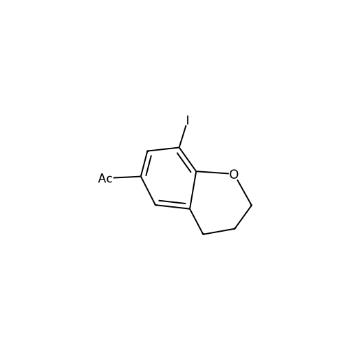 CC(=O)c1cc(I)c2c(c1)CCCO2